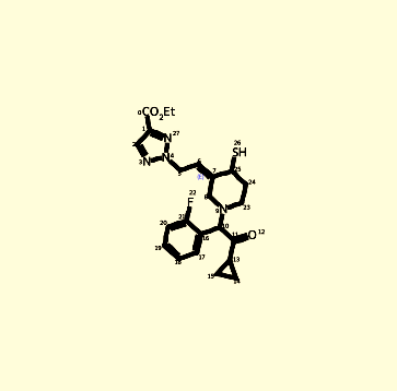 CCOC(=O)c1cnn(C/C=C2\CN(C(C(=O)C3CC3)c3ccccc3F)CCC2S)n1